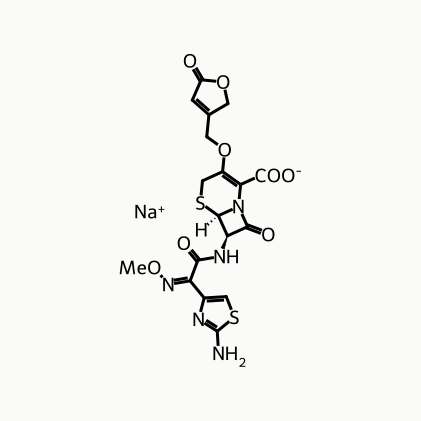 CO/N=C(\C(=O)N[C@@H]1C(=O)N2C(C(=O)[O-])=C(OCC3=CC(=O)OC3)CS[C@H]12)c1csc(N)n1.[Na+]